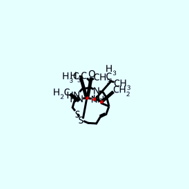 C=C1N/C(=C\C)C(=O)NC(C(C)C)C(=C)CC2/C=C/CCSSCC1NCC(C(C)C)NCC2